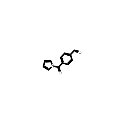 O=Cc1ccc(C(=O)n2cccc2)cc1